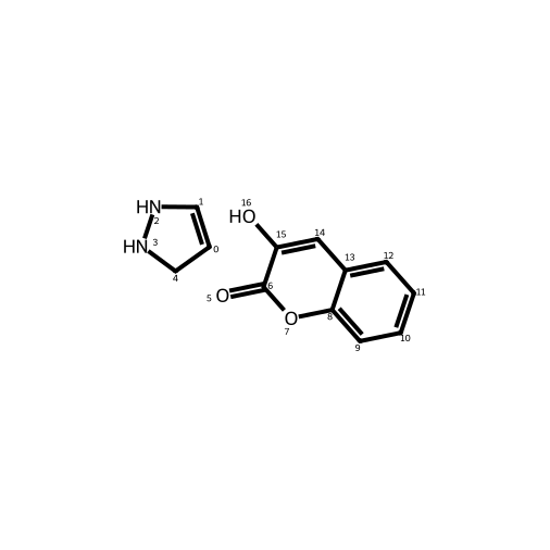 C1=CNNC1.O=c1oc2ccccc2cc1O